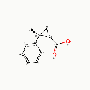 C[C@@]1(c2ccccc2)CC1C(=O)O